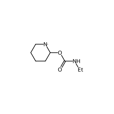 CCNC(=O)OC1CCCC[N]1